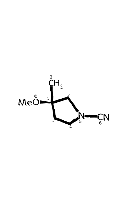 CO[C@]1(C)CCN(C#N)C1